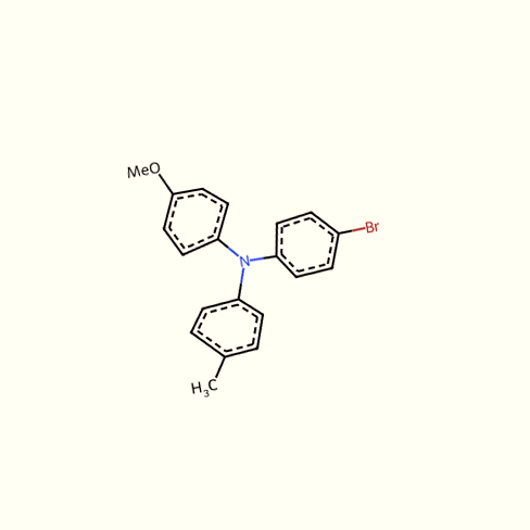 COc1ccc(N(c2ccc(C)cc2)c2ccc(Br)cc2)cc1